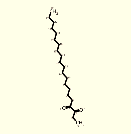 [CH2]CC(=O)C(=O)CCCCCCCCCCCCCCCCC